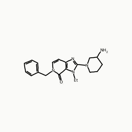 CCn1c(N2CCCC(N)C2)nc2ccn(Cc3ccccc3)c(=O)c21